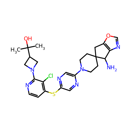 CC(C)(O)C1CN(c2nccc(Sc3cnc(N4CCC5(CC4)Cc4ocnc4C5N)cn3)c2Cl)C1